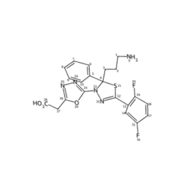 NCCCC1(c2ccccc2)SC(c2cc(F)ccc2F)=NN1c1nnc(CC(=O)O)o1